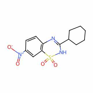 O=[N+]([O-])c1ccc2c(c1)S(=O)(=O)NC(C1CCCCC1)=N2